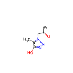 Cc1c(O)nnn1CC(=O)C(C)C